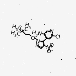 C[Si](C)(C)CCOCn1ncc([N+](=O)[O-])c1-c1cc(Cl)ncc1N